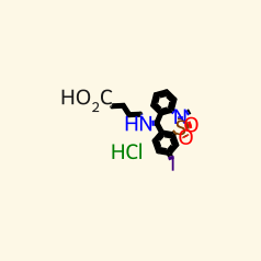 CN1c2ccccc2C(NCCCCC(=O)O)c2ccc(I)cc2S1(=O)=O.Cl